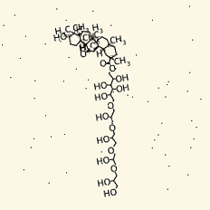 CC1(C)[C@@H](O)CC[C@]2(C)[C@H]3C(=O)C=C4[C@@H]5C[C@@](C)(C(=O)OCC(O)C(O)C(O)C(O)COCC(O)COCC(O)COCC(O)COCC(O)CO)CC[C@]5(C)CC[C@@]4(C)[C@]3(C)CC[C@@H]12